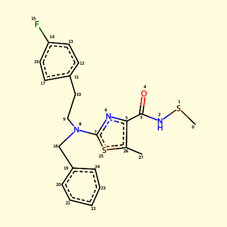 CSNC(=O)c1nc(N(CCc2ccc(F)cc2)Cc2ccccc2)sc1C